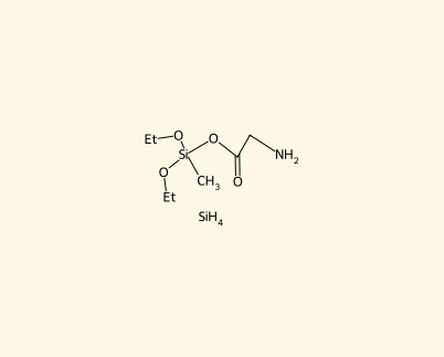 CCO[Si](C)(OCC)OC(=O)CN.[SiH4]